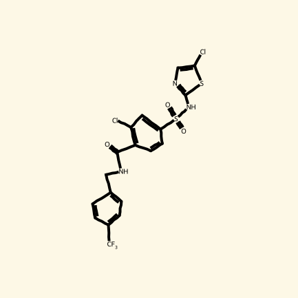 O=C(NCc1ccc(C(F)(F)F)cc1)c1ccc(S(=O)(=O)Nc2ncc(Cl)s2)cc1Cl